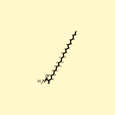 CCCCCCCCCCCCCCCCCCCCCCC(C)C(N)=O